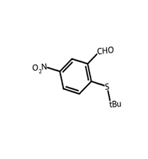 CC(C)(C)Sc1ccc([N+](=O)[O-])cc1C=O